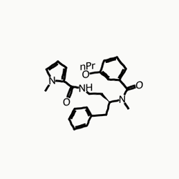 CCCOc1cccc(C(=O)N(C)[C@H](CCNC(=O)c2cccn2C)Cc2ccccc2)c1